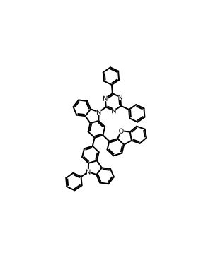 c1ccc(-c2nc(-c3ccccc3)nc(-n3c4ccccc4c4cc(-c5ccc6c(c5)c5ccccc5n6-c5ccccc5)c(-c5cccc6c5oc5ccccc56)cc43)n2)cc1